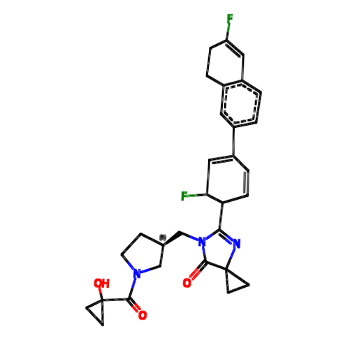 O=C(N1CC[C@@H](CN2C(=O)C3(CC3)N=C2C2C=CC(c3ccc4c(c3)CCC(F)=C4)=CC2F)C1)C1(O)CC1